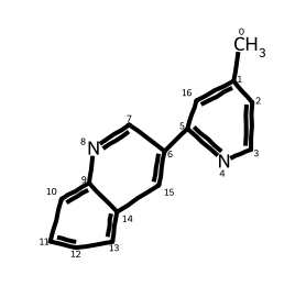 Cc1ccnc(-c2cnc3ccccc3c2)c1